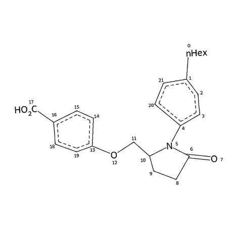 CCCCCCc1ccc(N2C(=O)CCC2COc2ccc(C(=O)O)cc2)cc1